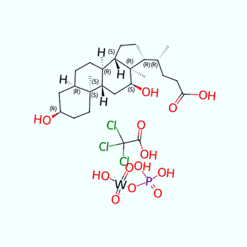 C[C@H](CCC(=O)O)[C@H]1CC[C@H]2[C@@H]3CC[C@@H]4C[C@H](O)CC[C@]4(C)[C@H]3C[C@H](O)[C@]12C.O=C(O)C(Cl)(Cl)Cl.O=P(O)(O)[O][W](=[O])(=[O])[OH]